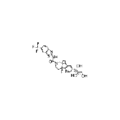 O=C(Nc1nc2ccc(C(F)(F)F)cc2s1)N1CCC(F)(c2ncc([C@H](O)[C@H](O)CO)cc2Cl)CC1